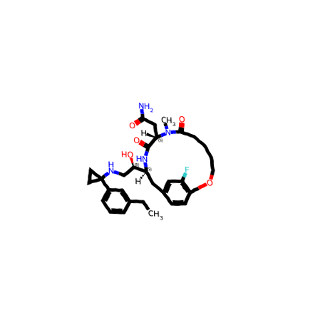 CCc1cccc(C2(NC[C@@H](O)[C@@H]3Cc4ccc(c(F)c4)OCCCCC(=O)N(C)[C@@H](CC(N)=O)C(=O)N3)CC2)c1